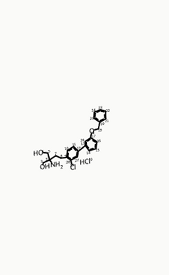 Cl.NC(CO)(CO)CCc1ccc(-c2cccc(OCc3ccccc3)c2)cc1Cl